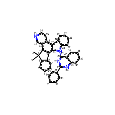 CC1(C)c2ccccc2-c2c1c1cnccc1c1c3ccccc3n(-c3nc(-c4ccccc4)nc4ccccc34)c21